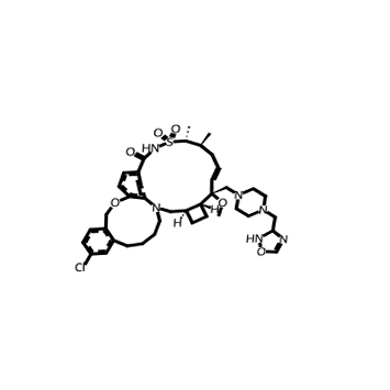 CO[C@@]1(CN2CCN(CC3N=CON3)CC2)/C=C/C[C@H](C)[C@@H](C)S(=O)(=O)NC(=O)c2ccc3c(c2)N(CCCCc2cc(Cl)ccc2CO3)C[C@@H]2CC[C@H]21